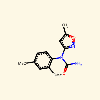 COc1ccc(N(C(N)=O)c2cc(C)on2)c(OC)c1